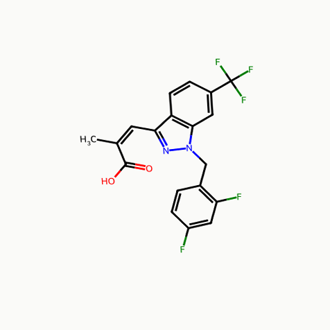 CC(=Cc1nn(Cc2ccc(F)cc2F)c2cc(C(F)(F)F)ccc12)C(=O)O